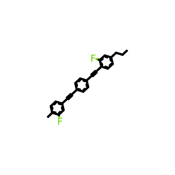 CCCc1ccc(C#Cc2ccc(C#Cc3ccc(C)c(F)c3)cc2)c(F)c1